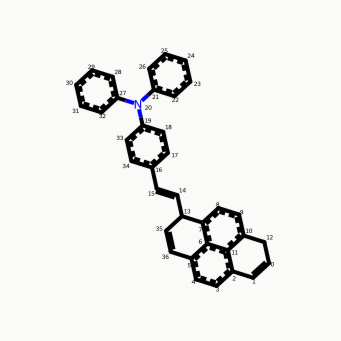 C1=Cc2ccc3c4c(ccc(c24)C1)C(C=Cc1ccc(N(c2ccccc2)c2ccccc2)cc1)C=C3